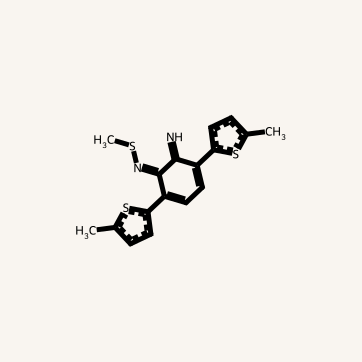 CS/N=C1\C(=N)C(c2ccc(C)s2)=CC=C1c1ccc(C)s1